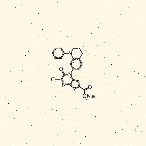 COC(=O)c1cc2c(nc(Cl)c(=O)n2-c2ccc3c(c2)N(c2ccccc2)CCC3)s1